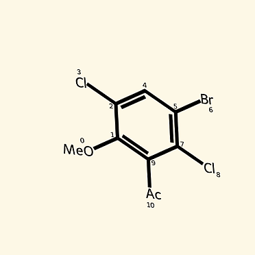 COc1c(Cl)cc(Br)c(Cl)c1C(C)=O